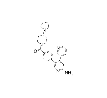 NC1=NC=C(c2ccc(C(=O)N3CCC(N4CCCC4)CC3)cc2)N(c2cccnc2)C1